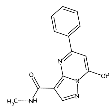 CNC(=O)c1cnn2c(O)cc(-c3ccccc3)nc12